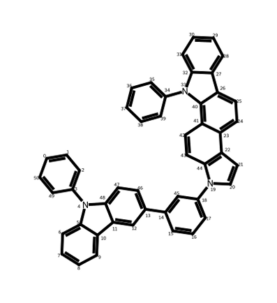 c1ccc(-n2c3ccccc3c3cc(-c4cccc(-n5ccc6c7ccc8c9ccccc9n(-c9ccccc9)c8c7ccc65)c4)ccc32)cc1